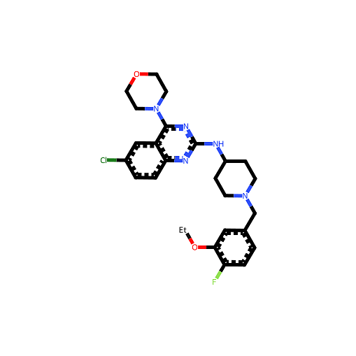 CCOc1cc(CN2CCC(Nc3nc(N4CCOCC4)c4cc(Cl)ccc4n3)CC2)ccc1F